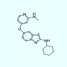 CNc1cc(Oc2ccc3nc(NC4CCCCC4)sc3c2)ccn1